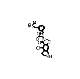 O=C(N[C@@H](Cc1cccc(C[SH](=O)=O)c1)C(=O)O)c1c(Cl)cc2c(c1Cl)CCNC2